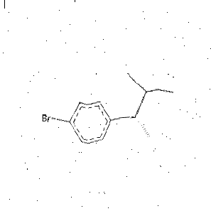 CC(C)[C@H](C)c1ccc(Br)cc1